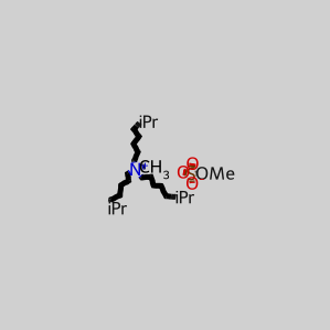 CC(C)CCCCC[N+](C)(CCCCCC(C)C)CCCCCC(C)C.COS(=O)(=O)[O-]